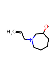 C=CCN1CCCCC([O])C1